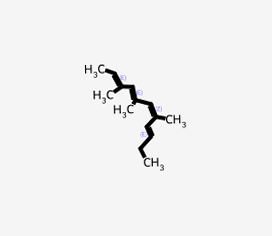 C/C=C(C)/C=C(C)/C=C(C)\C=C\CC